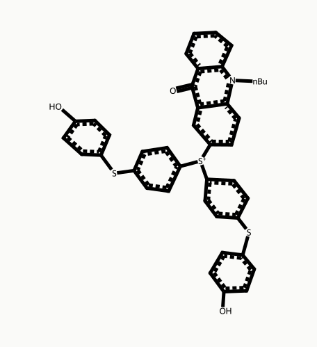 CCCCn1c2ccccc2c(=O)c2cc([S+](c3ccc(Sc4ccc(O)cc4)cc3)c3ccc(Sc4ccc(O)cc4)cc3)ccc21